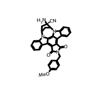 COc1ccc(CN2C(=O)c3c(c4c5ccccc5n5c4c4c3c3ccccc3n4C3CC5[C@](N)(C#N)C3)C2=O)cc1